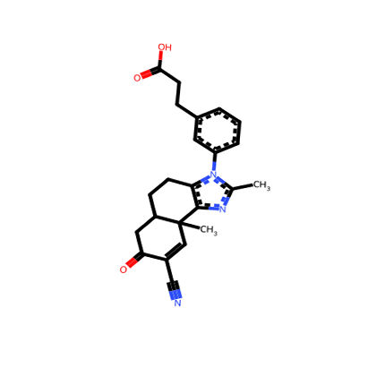 Cc1nc2c(n1-c1cccc(CCC(=O)O)c1)CCC1CC(=O)C(C#N)=CC21C